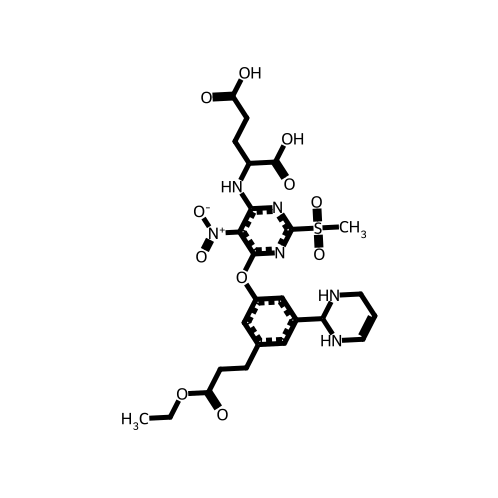 CCOC(=O)CCc1cc(Oc2nc(S(C)(=O)=O)nc(NC(CCC(=O)O)C(=O)O)c2[N+](=O)[O-])cc(C2NC=CCN2)c1